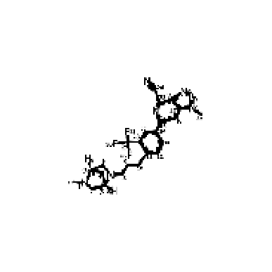 CN1C[C@@H]2C[C@H]1CN2CCCc1ccc(-c2cc3c(nnn3C)c(C#N)n2)cc1C(F)(F)F